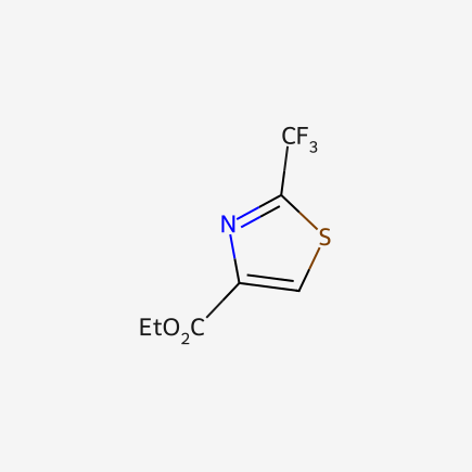 CCOC(=O)c1csc(C(F)(F)F)n1